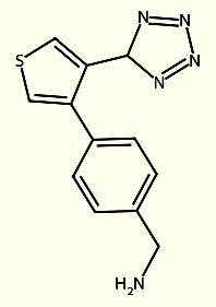 NCc1ccc(-c2cscc2C2N=NN=N2)cc1